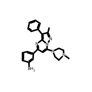 Bc1cccc(-c2cc(N3CCN(C)CC3)n3nc(C)c(-c4ccccc4)c3n2)c1